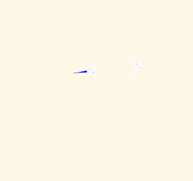 CN1CCN([C@@H]2C[CH]c3ccccc32)CC1